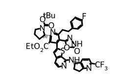 CCOC(=O)c1c([C@@H]2CCCN2C(=O)OC(C)(C)C)nc(CCc2ccc(F)cc2)c(-c2n[nH]c(=O)o2)c1-c1cc2ccnc(N[C@@H]3CCc4nc(C(F)(F)F)ccc43)c2s1